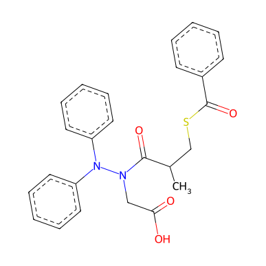 CC(CSC(=O)c1ccccc1)C(=O)N(CC(=O)O)N(c1ccccc1)c1ccccc1